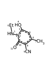 CCNn1c(O)cc(C)c(C#N)c1=O